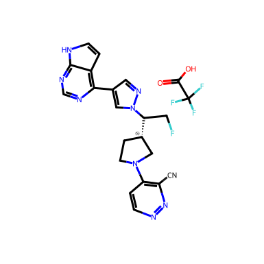 N#Cc1nnccc1N1CC[C@H](C(CF)n2cc(-c3ncnc4[nH]ccc34)cn2)C1.O=C(O)C(F)(F)F